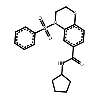 O=C(NC1CCCC1)c1ccc2c(c1)N(S(=O)(=O)c1ccccc1)CCS2